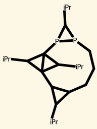 CC(C)C1C2CCCP3C(C(C)C)P3C34C(C(C)C)C3(C21)C4C(C)C